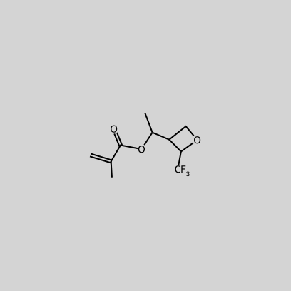 C=C(C)C(=O)OC(C)C1COC1C(F)(F)F